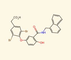 O=C(O)Cc1cc(Br)c(Oc2ccc(O)c(C(=O)NCc3cccc4ccccc34)c2)c(Br)c1